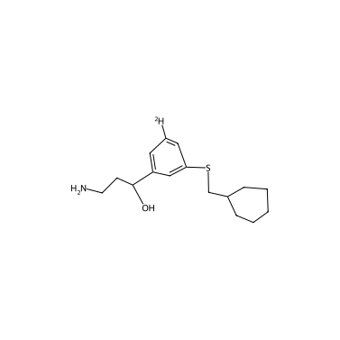 [2H]c1cc(SCC2CCCCC2)cc(C(O)CCN)c1